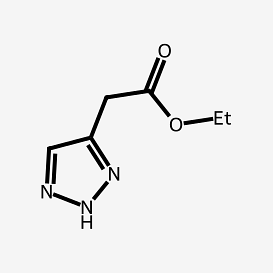 CCOC(=O)Cc1cn[nH]n1